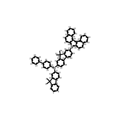 CC1(C)c2ccccc2-c2ccc(N(c3ccc(-c4ccccc4)cc3)c3ccc4c(c3)C(C)(C)c3cc(-n5c6ccc7ccccc7c6c6c7ccccc7ccc65)ccc3-4)cc21